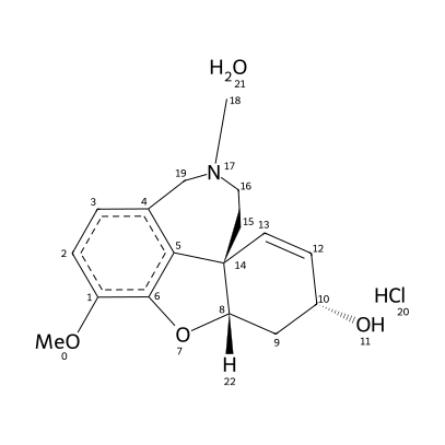 COc1ccc2c3c1O[C@H]1C[C@@H](O)C=C[C@@]31CCN(C)C2.Cl.O